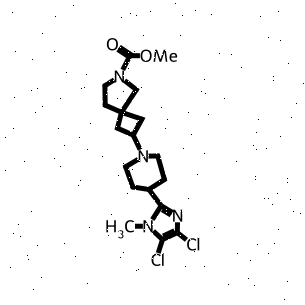 COC(=O)N1CCC2(CC(N3CCC(c4nc(Cl)c(Cl)n4C)CC3)C2)C1